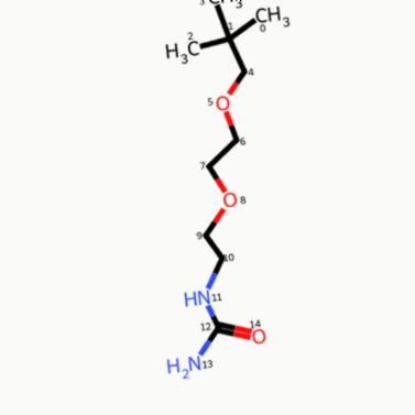 CC(C)(C)COCCOCCNC(N)=O